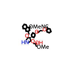 COCC(O)CO[C@@H]1CNC[C@H](OCc2cc(OC)c3ccccc3c2)[C@H]1c1ccc(OCCCOc2ccccc2C#N)cc1